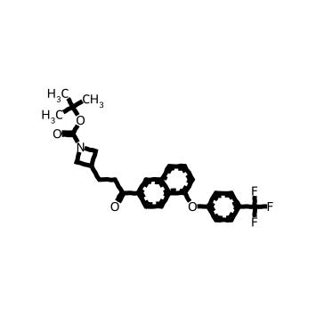 CC(C)(C)OC(=O)N1CC(CCC(=O)c2ccc3c(Oc4ccc(C(F)(F)F)cc4)cccc3c2)C1